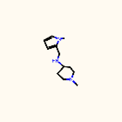 CN1CCC(NCc2cccn2C)CC1